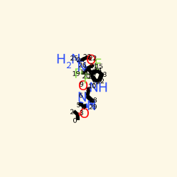 CC(C)Oc1cnc(C(=O)Nc2ccc(F)c(C3(C(F)F)COCC(N)=N3)c2)cn1